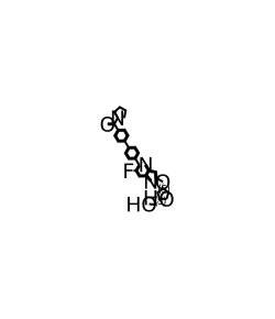 O=C(c1ccc(-c2ccc(-c3nc4cc(O[C@@H]5CO[C@H](CO)C5)[nH]c4cc3F)cc2)cc1)N1CCCC1